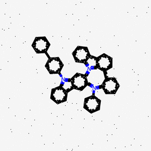 c1ccc(-c2ccc(-n3c4ccccc4c4cc5c(cc43)n3c4ccccc4c4cccc(c6ccccc6n5-c5ccccc5)c43)cc2)cc1